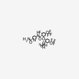 [2H]C([2H])([2H])Oc1cc(OC(F)(F)F)ccc1Oc1cc(OC(F)(F)F)cc(F)c1C(=O)Nc1ccc(C(N)=O)nc1